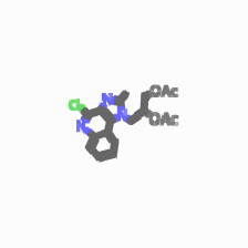 CC(=O)OCC(Cn1c(C)nc2c(Cl)nc3ccccc3c21)OC(C)=O